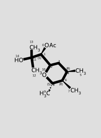 CC(=O)O[C@@H](C1C[C@@H](C)[C@@H](C)[C@H](C)O1)C(C)(C)O